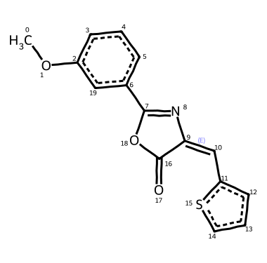 COc1cccc(C2=N/C(=C/c3cccs3)C(=O)O2)c1